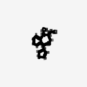 CN1c2ccccc2C(c2ccsc2)=NCC1CCl